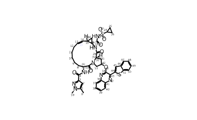 Cc1cc(C(=O)N[C@H]2CCCCC/C=C\[C@@H]3C[C@@]3(C(=O)NS(=O)(=O)C3CC3)NC(=O)[C@@H]3C[C@@H](Oc4nc5ccccc5nc4-c4cc5ccccc5s4)CN3C2=O)nn1C